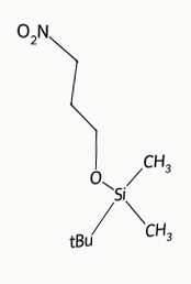 CC(C)(C)[Si](C)(C)OCCC[N+](=O)[O-]